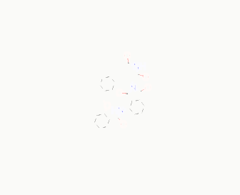 CC(C)c1ccc(OCc2ccccc2)c(C(=O)Nc2cccc3c2C(=O)N(C2CCC(=O)NC2=O)C3=O)c1